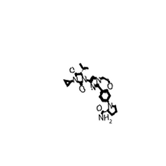 CC(C)[C@H]1C(=O)N(C2CC2)C(=O)N1c1cn2c(n1)-c1ccc(N3CCC[C@H]3C(N)=O)cc1OCC2